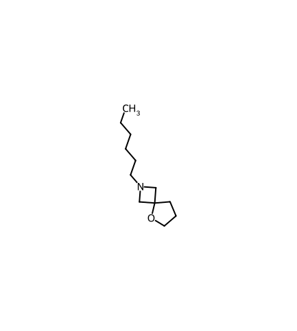 CCCCCCN1CC2(CCCO2)C1